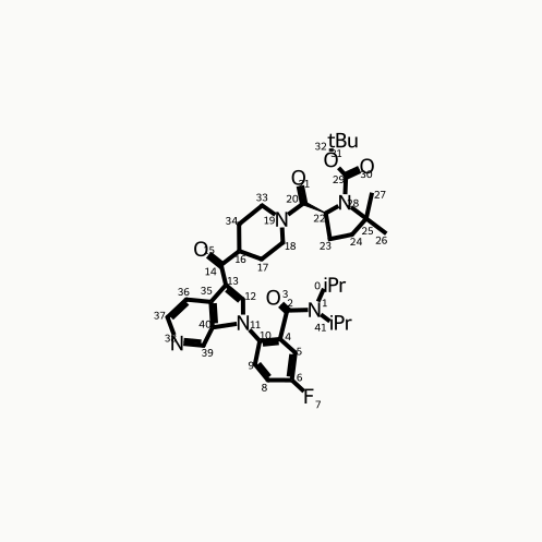 CC(C)N(C(=O)c1cc(F)ccc1-n1cc(C(=O)C2CCN(C(=O)[C@@H]3CCC(C)(C)N3C(=O)OC(C)(C)C)CC2)c2ccncc21)C(C)C